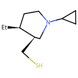 CC[C@H]1CCN(C2CC2)C[C@H]1CS